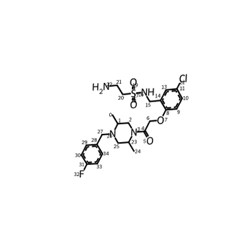 CC1CN(C(=O)COc2ccc(Cl)cc2CNS(=O)(=O)CCN)C(C)CN1Cc1ccc(F)cc1